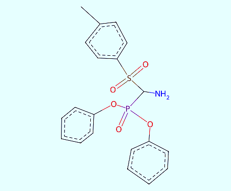 Cc1ccc(S(=O)(=O)C(N)P(=O)(Oc2ccccc2)Oc2ccccc2)cc1